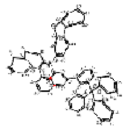 C1=CCC2C=CC(N(c3cccc(-c4ccc5c(c4)C(c4ccccc4)(c4ccccc4)c4ccccc4-5)c3)c3ccc4c(c3)oc3ccccc34)=C(C3=CCCC=C3)C2=C1